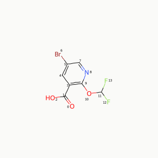 O=C(O)c1cc(Br)cnc1OC(F)F